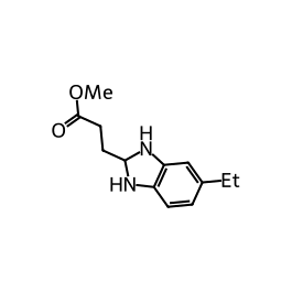 CCc1ccc2c(c1)NC(CCC(=O)OC)N2